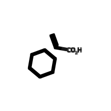 C1CCCCC1.C=CC(=O)O